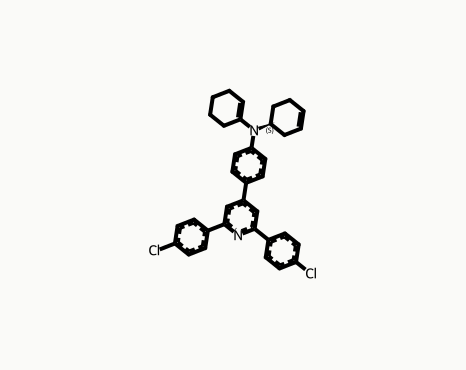 Clc1ccc(-c2cc(-c3ccc(N(C4=CCCCC4)[C@@H]4CC=CCC4)cc3)cc(-c3ccc(Cl)cc3)n2)cc1